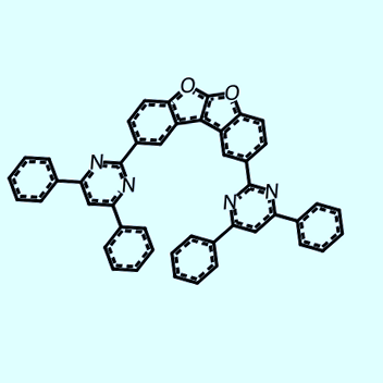 c1ccc(-c2cc(-c3ccccc3)nc(-c3ccc4oc5oc6ccc(-c7nc(-c8ccccc8)cc(-c8ccccc8)n7)cc6c5c4c3)n2)cc1